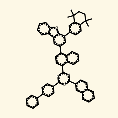 CC1(C)CCC(C)(C)c2cc(-c3cc(-c4ccc(-c5nc(-c6ccc(-c7ccccc7)cc6)nc(-c6ccc7ccccc7c6)n5)c5ccccc45)cc4c3oc3ccccc34)ccc21